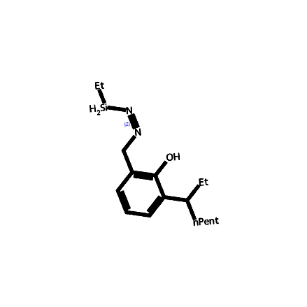 CCCCCC(CC)c1cccc(C/N=N\[SiH2]CC)c1O